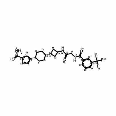 NC(=O)c1ncc([C@H]2CC[C@@H](N3CC(NC(=O)CNC(=O)c4cccc(C(F)(F)F)c4)C3)CC2)s1